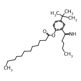 CCCCCCCCCCCC(=O)Oc1ccc(C(C)(C)C)cc1C(=N)CCCC